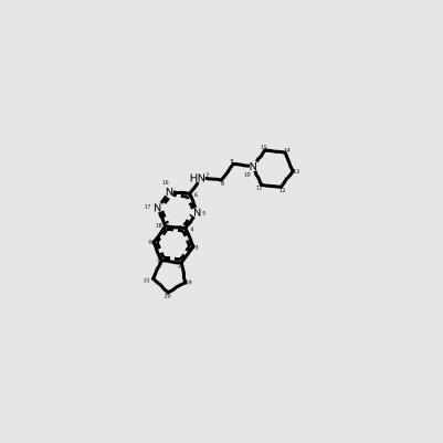 c1c2c(cc3nc(NCCN4CCCCC4)nnc13)CCC2